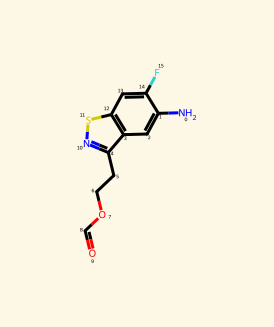 Nc1cc2c(CCOC=O)nsc2cc1F